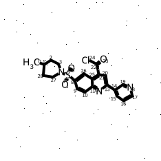 CC1CCN(S(=O)(=O)c2ccc3nc(-c4cccnc4)cc(C(=O)Cl)c3c2)CC1